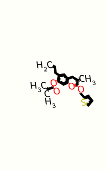 C=CCc1cc(C[C@@H](C)C(=O)OCc2cccs2)ccc1OC(=O)C(C)C